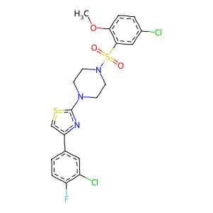 COc1ccc(Cl)cc1S(=O)(=O)N1CCN(c2nc(-c3ccc(F)c(Cl)c3)cs2)CC1